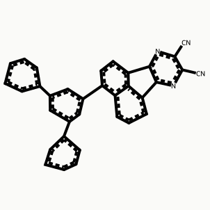 N#Cc1nc2c(nc1C#N)-c1ccc(-c3cc(-c4ccccc4)cc(-c4ccccc4)c3)c3cccc-2c13